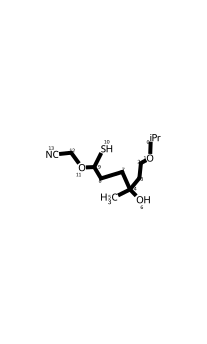 CC(C)OCCC(C)(O)CCC(S)OCC#N